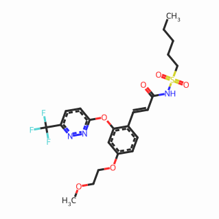 CCCCCS(=O)(=O)NC(=O)C=Cc1ccc(OCCOC)cc1Oc1ccc(C(F)(F)F)nn1